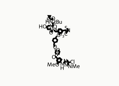 CNc1nc(Nc2ccc(C(=O)N3CCO[C@@H](COCC4CCC(COc5cc(-c6scnc6C)ccc5CNC(=O)[C@@H]5C[C@@H](O)CN5C(=O)[C@@H](NC(=O)C5(F)CC5)C(C)(C)C)CC4)C3)cc2OC)ncc1Cl